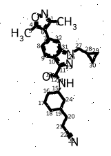 Cc1noc(C)c1-c1ccc2c(C(=O)N[C@@H]3CCCC(CCC#N)C3)nn(CC3CC3)c2c1